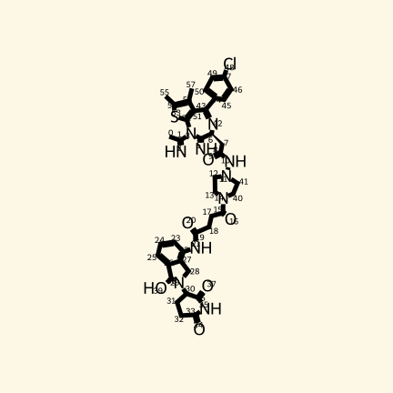 CC(=N)N1C(=N)[C@H](CC(=O)NN2CCN(C(=O)CCC(=O)Nc3cccc4c3CN(C3CCC(=O)NC3=O)C4O)CC2)N=C(c2ccc(Cl)cc2)c2c1sc(C)c2C